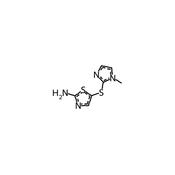 Cn1ccnc1Sc1cnc(N)s1